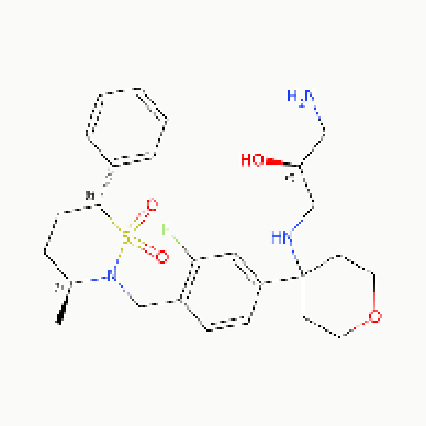 C[C@H]1CC[C@H](c2ccccc2)S(=O)(=O)N1Cc1ccc(C2(NC[C@@H](O)CN)CCOCC2)cc1F